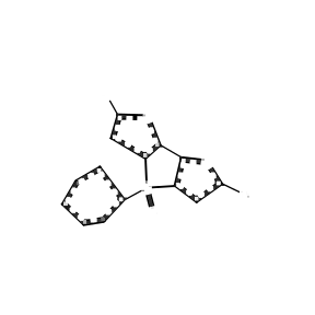 O=P1(c2ccccc2)c2cc(Br)oc2-c2oc(Br)cc21